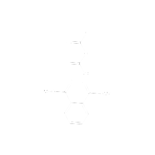 COC(=O)c1ccccc1C(=O)OC.O=C(OC(=O)C(F)(F)F)C(F)(F)F